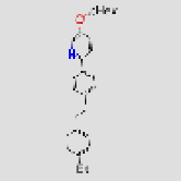 CCCCCCOc1ccc(-c2ccc(CCc3ccc(CC)cc3)cc2)nc1